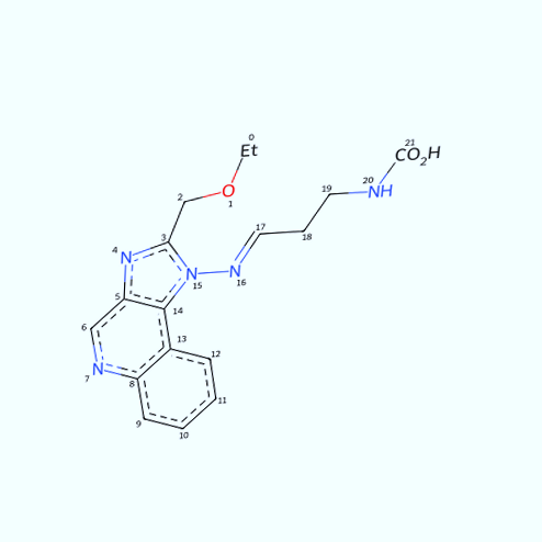 CCOCc1nc2cnc3ccccc3c2n1N=CCCNC(=O)O